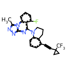 Cc1nnc2nc(N3CCCc4c(C#CC5(C(F)(F)F)CC5)cccc43)c3c(F)cccc3n12